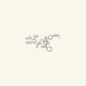 Nc1ccc(S(=O)(=O)N2CCN(C(=O)c3cc(O)c(O)c(O)c3)CC2C(=O)Nc2ccccc2)cc1